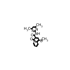 COc1cc(C(=O)Nc2nc(C)cc(C)n2)c(=O)n2ccccc12